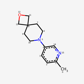 Cc1ccc(N2CCC3(CC2)COC3)cn1